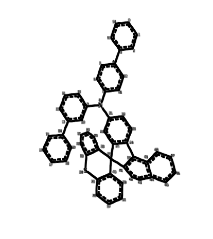 c1ccc(-c2ccc(N(c3cccc(-c4ccccc4)c3)c3ccc4c(c3)C3(c5ccccc5Sc5ccccc53)c3ccc5ccccc5c3-4)cc2)cc1